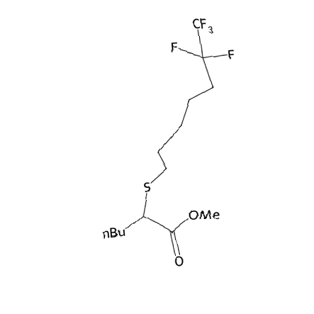 CCCCC(SCCCCCC(F)(F)C(F)(F)F)C(=O)OC